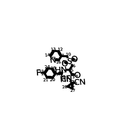 N#CC1(NC(=O)C(CS(=O)(=O)Cc2cccnc2)N[C@H](c2ccc(F)cc2)C(F)(F)F)CC1